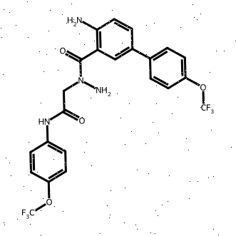 Nc1ccc(-c2ccc(OC(F)(F)F)cc2)cc1C(=O)N(N)CC(=O)Nc1ccc(OC(F)(F)F)cc1